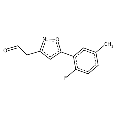 Cc1ccc(F)c(-c2cc(CC=O)no2)c1